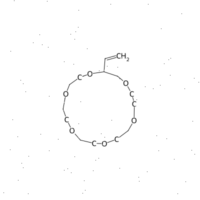 C=CC1COCCOCCOCCOCCOCCO1